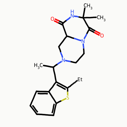 CCc1sc2ccccc2c1C(C)N1CCN2C(=O)C(C)(C)NC(=O)C2C1